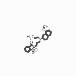 CCCN(CCCN1C(=O)c2ccccc2S1(=O)=O)C1CCc2cccc(OC)c2C1